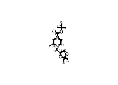 C[C@H]1CN(C(=O)OC(C)(C)C)CCN1C[C@H]1COC(C)(C)O1